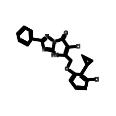 O=c1c(Cl)c(COc2cccc(Cl)c2C2CC2)[nH]c2nc(-c3ccccc3)nn12